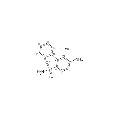 Nc1ccc(S(N)(=O)=O)c(-c2ccccc2)c1F